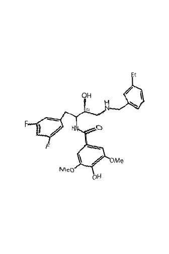 CCc1cccc(CNC[C@H](O)C(Cc2cc(F)cc(F)c2)NC(=O)c2cc(OC)c(O)c(OC)c2)c1